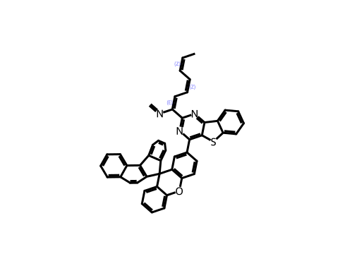 C=N/C(=C/C=C\C=C/C)c1nc(-c2ccc3c(c2)C2(c4ccccc4O3)c3ccccc3-c3c2ccc2ccccc32)c2sc3ccccc3c2n1